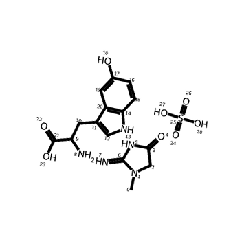 CN1CC(=O)NC1=N.NC(Cc1c[nH]c2ccc(O)cc12)C(=O)O.O=S(=O)(O)O